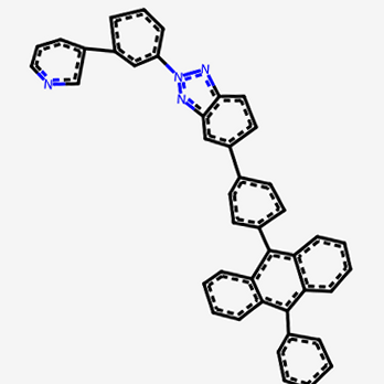 c1ccc(-c2c3ccccc3c(-c3ccc(-c4ccc5nn(-c6cccc(-c7cccnc7)c6)nc5c4)cc3)c3ccccc23)cc1